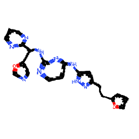 c1cnc(C(Nc2nccc(Nc3cc(CCc4ccco4)n[nH]3)n2)c2cnco2)nc1